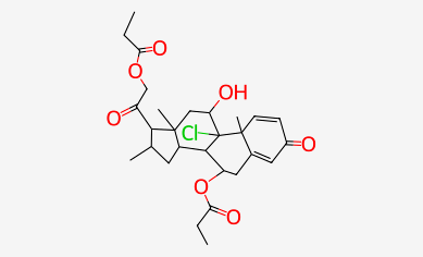 CCC(=O)OCC(=O)C1C(C)CC2C3C(OC(=O)CC)CC4=CC(=O)C=CC4(C)C3(Cl)C(O)CC21C